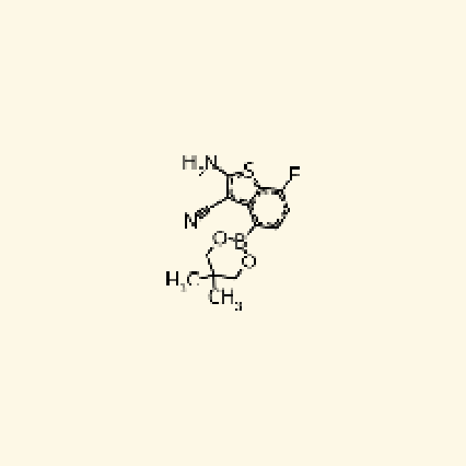 CC1(C)COB(c2ccc(F)c3sc(N)c(C#N)c23)OC1